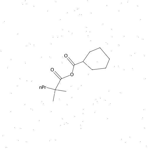 CCCC(C)(C)C(=O)OC(=O)C1CCCCC1